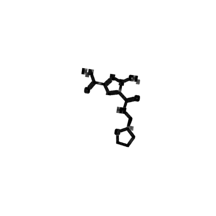 Cn1nc(C(N)=O)[c]c1C(=O)NC[C@H]1CCCO1